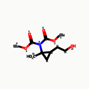 CC(C)(C)OC(=O)N(C(=O)OC(C)(C)C)C1(C(=O)O)CC1CCO